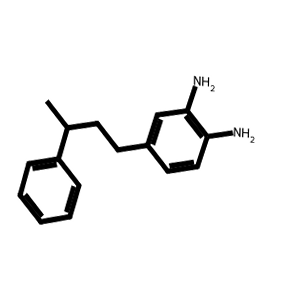 CC(CCc1ccc(N)c(N)c1)c1ccccc1